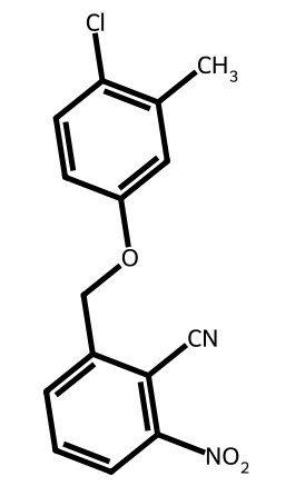 Cc1cc(OCc2cccc([N+](=O)[O-])c2C#N)ccc1Cl